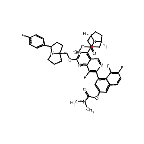 CN(C)C(=O)Oc1cc(-c2ncc3c(N4C[C@H]5CC[C@@H](C4)N5C(=O)OC(C)(C)C)nc(OCC45CCCN4C(c4ccc(F)cc4)CC5)nc3c2F)c2c(F)c(F)ccc2c1